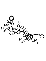 CC1=C(Nc2nc3ccccc3s2)NNC2=C1CCCN2c1ccc(-c2cnn(CC34CC5(C)CC(C)(CC(CCCN6CCCC6)(C5)C3)C4)c2C)c(C(=O)O)n1